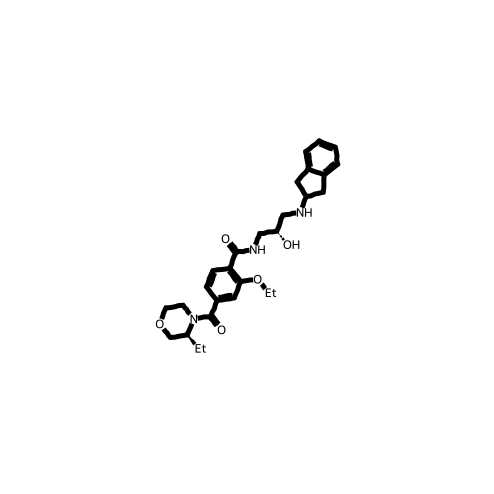 CCOc1cc(C(=O)N2CCOC[C@@H]2CC)ccc1C(=O)NC[C@@H](O)CNC1Cc2ccccc2C1